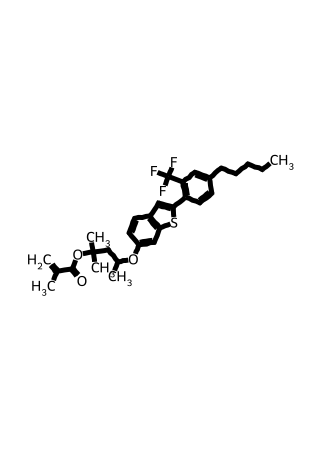 C=C(C)C(=O)OC(C)(C)CC(C)Oc1ccc2cc(-c3ccc(CCCCC)cc3C(F)(F)F)sc2c1